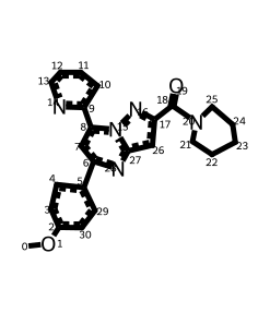 COc1ccc(-c2cc(-c3ccccn3)n3nc(C(=O)N4CCCCC4)cc3n2)cc1